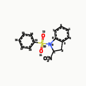 O=[N+]([O-])C1Cc2ccccc2N1S(=O)(=O)c1ccccc1